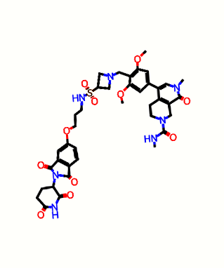 CNC(=O)N1CCc2c(-c3cc(OC)c(CN4CC(S(=O)(=O)NCCCOc5ccc6c(c5)C(=O)N(C5CCC(=O)NC5=O)C6=O)C4)c(OC)c3)cn(C)c(=O)c2C1